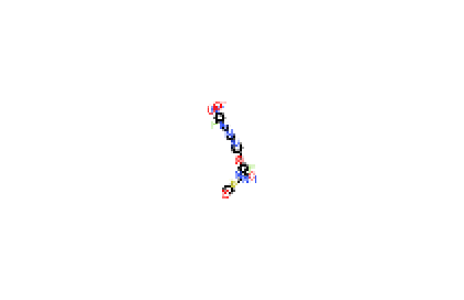 O=c1[nH]c(CSC2CCOCC2)nc2cc(OCC3CCN(C4CN(C5CN(c6ccc([N+](=O)[O-])cc6F)C5)C4)CC3)cc(F)c12